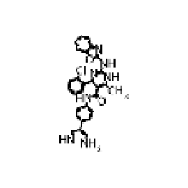 CC1=C(C(=O)Nc2ccc(/C(C=N)=C/N)cc2)C(c2ccccc2Cl)N=C(Nc2nc3ccccc3o2)N1